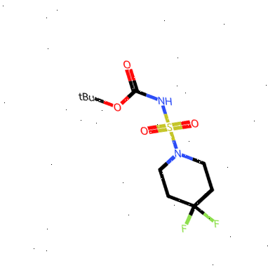 CC(C)(C)OC(=O)NS(=O)(=O)N1CCC(F)(F)CC1